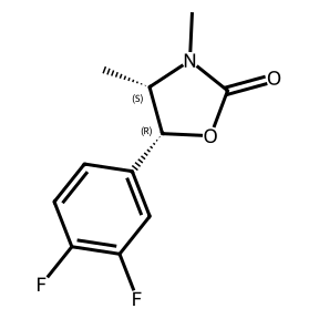 C[C@H]1[C@@H](c2ccc(F)c(F)c2)OC(=O)N1C